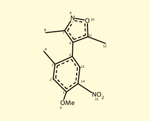 COc1cc(C)c(-c2c(C)noc2C)cc1[N+](=O)[O-]